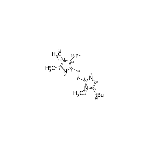 Cc1nc(CCc2ncc(C(C)(C)C)n2C)c(C(C)C)n1C